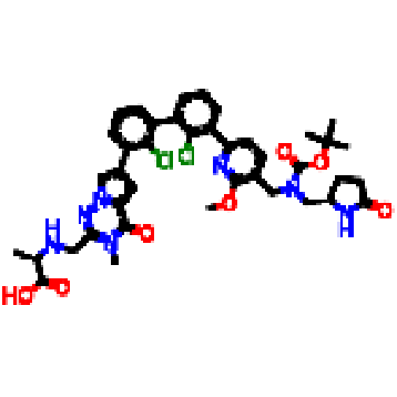 COc1nc(-c2cccc(-c3cccc(-c4cc5c(=O)n(C)c(CN[C@H](C)C(=O)O)nn5c4)c3Cl)c2Cl)ccc1CN(C[C@@H]1CCC(=O)N1)C(=O)OC(C)(C)C